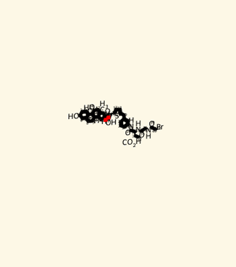 C[C@]12C=CC(O)C=C1CC[C@H]1[C@@H]3C[C@H]4O[C@@H](c5ccc(Cc6cccc(NC(=O)[C@H](CCC(=O)O)NC(=O)CNC(=O)CBr)c6)s5)O[C@@]4(C(=O)CO)[C@@]3(C)C[C@H](O)[C@@]12F